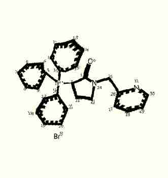 O=C1[C@H]([P+](c2ccccc2)(c2ccccc2)c2ccccc2)CCN1Cc1ccccn1.[Br-]